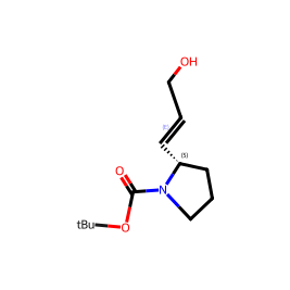 CC(C)(C)OC(=O)N1CCC[C@H]1/C=C/CO